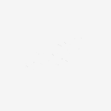 CN1CC(c2cccc(C(N)=O)c2)=NC(c2nnc(-c3ccccc3)o2)=C1N